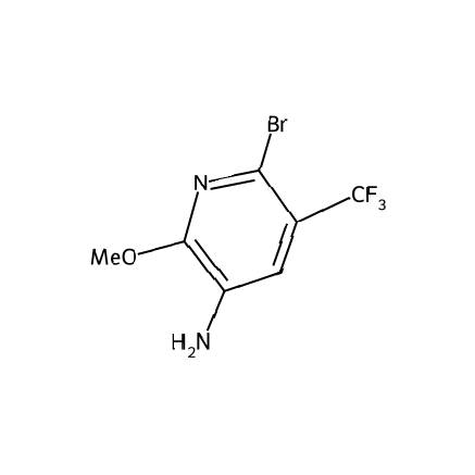 COc1nc(Br)c(C(F)(F)F)cc1N